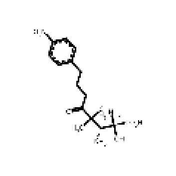 CC(C)(C(=O)CCCc1ccc([N+](=O)[O-])cc1)[C@@H](N)[C@](N)(O)C(=O)O